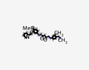 C/C=C\c1ccc(/C=C/C(=O)CC(=O)/C=C/c2ccc(OC)c(OCc3ccccn3)c2)cc1C